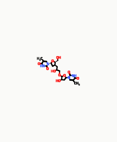 Cc1cn(C2CC(O)C(OCC(O)C[C@H]3C[C@H](n4cc(C)c(=O)[nH]c4=O)O[C@@H]3CO)O2)c(=O)[nH]c1=O